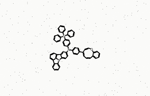 c1ccc([Si](c2ccccc2)(c2ccccc2)c2ccc(N(c3ccc(-c4cccc5ccccc5occ4)cc3)c3ccc4c(c3)c3cccc5c6ccccc6n4c53)cc2)cc1